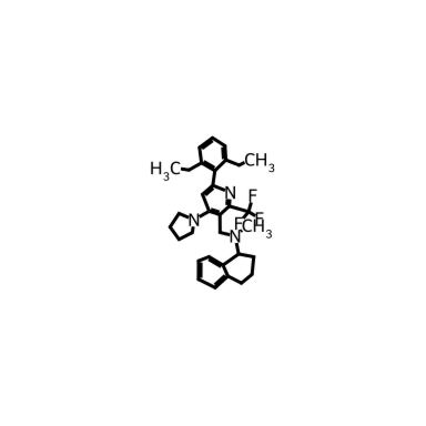 CCc1cccc(CC)c1-c1cc(N2CCCC2)c(CN(C)C2CCCc3ccccc32)c(C(F)(F)F)n1